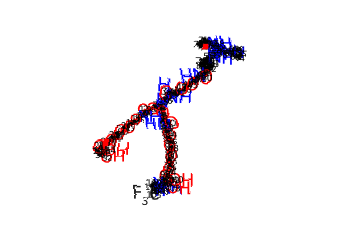 O=C(CCOCC(COCCC(=O)NCCOCCOCCOCCOC[C@H]1OCC[C@@H](O)[C@H]1O)NCC(=O)NCCOCCOCCNC(=O)c1ccc(CNc2nc(NCC3CCCCC3)nc(NC3CC4CCC3C4)n2)cc1)NCCOCCOCCOCCOC[C@H]1OC[C@H](Nc2nccc(C(F)(F)F)n2)[C@@H](O)[C@H]1O